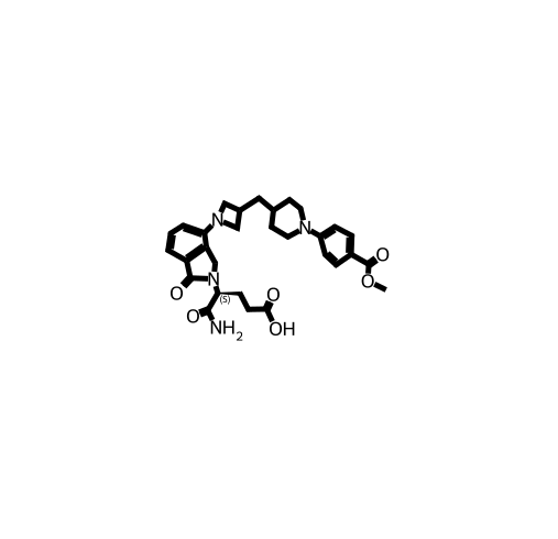 COC(=O)c1ccc(N2CCC(CC3CN(c4cccc5c4CN([C@@H](CCC(=O)O)C(N)=O)C5=O)C3)CC2)cc1